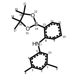 Cc1cc(C)cc(Nc2ccccc2B2OC(C)(C)C(C)(C)O2)c1